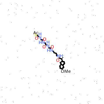 COc1ccc2cc([C@H](C)C(=O)NCCCCNC(=O)CNC(=O)CNC(=O)CNC(=O)CSC(C)=O)ccc2c1